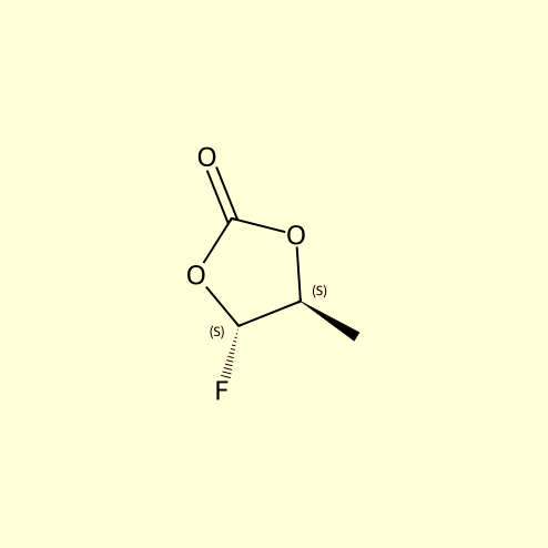 C[C@@H]1OC(=O)O[C@H]1F